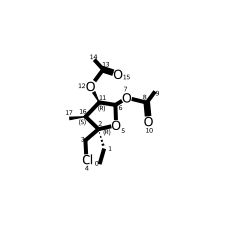 CC[C@@]1(CCl)OC(OC(C)=O)[C@H](OC(C)=O)[C@@H]1C